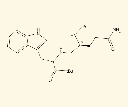 CC(C)N[C@@H](CCC(N)=O)CNC(Cc1c[nH]c2ccccc12)C(=O)C(C)(C)C